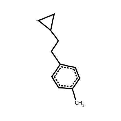 Cc1ccc(CCC2[CH]C2)cc1